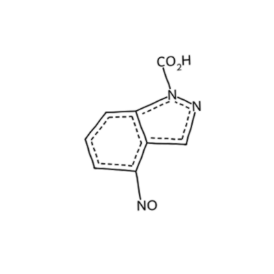 O=Nc1cccc2c1cnn2C(=O)O